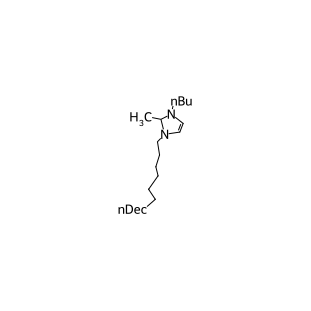 CCCCCCCCCCCCCCCCN1C=CN(CCCC)C1C